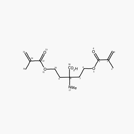 C=C(C)C(=O)OCCC(CCOC(=O)C(=C)C)(NC)C(=O)O